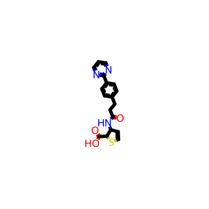 O=C(CCc1ccc(-c2ncccn2)cc1)NC1C=CSC1C(=O)O